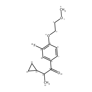 COCCOc1ccc(C(=O)C(C)C2CC2)cc1F